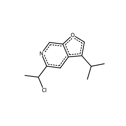 CC(C)c1coc2cnc(C(C)Cl)cc12